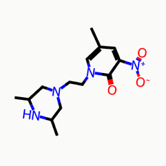 Cc1cc([N+](=O)[O-])c(=O)n(CCN2CC(C)NC(C)C2)c1